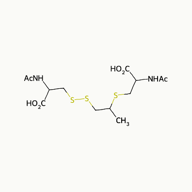 CC(=O)NC(CSSCC(C)SCC(NC(C)=O)C(=O)O)C(=O)O